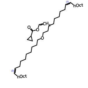 C=COC(=O)C1CC1.CCCCCCCC/C=C\CCCCCCCCOCCCCCCCC/C=C\CCCCCCCC